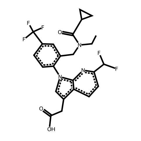 CCN(Cc1cc(C(F)(F)F)ccc1-n1cc(CC(=O)O)c2ccc(C(F)F)nc21)C(=O)C1CC1